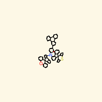 c1ccc2c(c1)Oc1ccccc1C21c2ccccc2-c2c(N(c3ccc(-c4ccc5c6ccccc6c6ccccc6c5c4)cc3)c3cccc4c3-c3ccccc3C43c4ccccc4Sc4ccccc43)cccc21